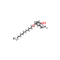 CCCCCCCCCCCCOCC(CC)CC(CC)CO